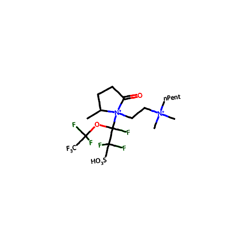 CCCCC[N+](C)(C)CC[N+]1(C(F)(OC(F)(F)C(F)(F)F)C(F)(F)S(=O)(=O)O)C(=O)CCC1C